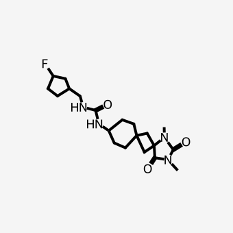 CN1C(=O)N(C)C2(CC3(CCC(NC(=O)NCC4CCC(F)C4)CC3)C2)C1=O